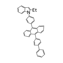 CCc1cc2ccccc2n1-c1ccc(-c2c3ccccc3c(-c3ccc(-c4ccccc4)cc3)c3ccccc23)cc1